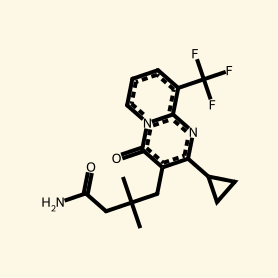 CC(C)(CC(N)=O)Cc1c(C2CC2)nc2c(C(F)(F)F)cccn2c1=O